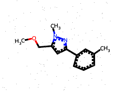 COCc1cc(-c2cccc(C)c2)nn1C